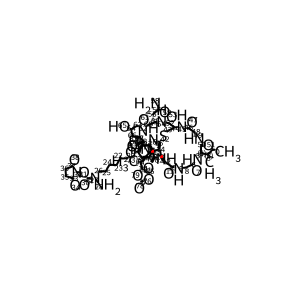 CC[C@H](C)[C@@H]1NC(=O)CNC(=O)C2Cc3c([nH]c4cc(OCCCCCCN(N)C(=O)ON5C(=O)CCC5=O)ccc34)SCC(NC(=O)CNC1=O)C(=O)N[C@@H](CC(N)=O)C(=O)N1CC(O)C[C@H]1C(=O)N[C@@H]([C@@H](C)[C@@H]1COC(=O)O1)C(=O)N2